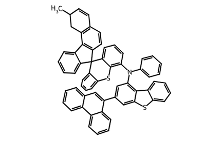 CC1C=Cc2ccc3c(c2C1)-c1ccccc1C31c2ccccc2Sc2c(N(c3ccccc3)c3cc(-c4cc5ccccc5c5ccccc45)cc4sc5ccccc5c34)cccc21